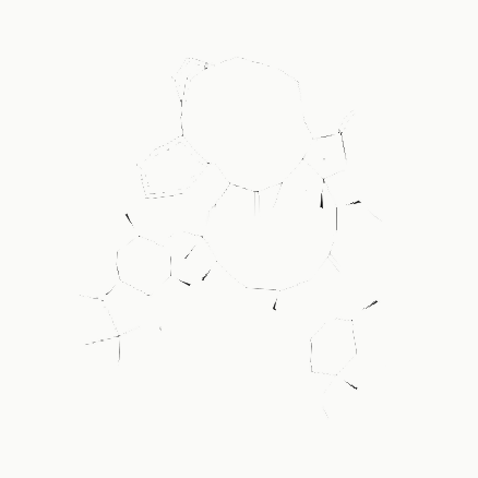 CC[C@H]1OC(=O)[C@H](C)[C@@H](O[C@H]2C[C@@](C)(OC)[C@@H](O)[C@H](C)O2)[C@H](C)[C@@H](O[C@@H]2O[C@H](C)C[C@H](N(C)C(C)(C)C)[C@H]2O)[C@](C)(OC)C[C@@H]2C(=O)[C@H](C)[C@H]3N(CCCCn4cnc(c4)-c4cnccc42)C(=O)O[C@]13C